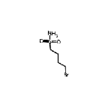 NS(=O)(=O)CCCCBr